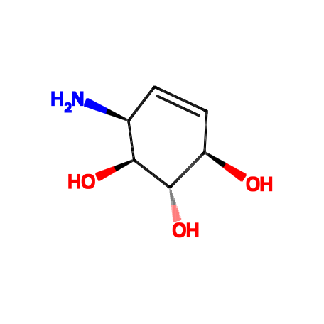 N[C@H]1C=C[C@@H](O)[C@H](O)[C@H]1O